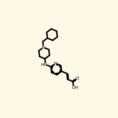 O=C(O)C=Cc1ccc(NC2CCN(CC3CCCCC3)CC2)nc1